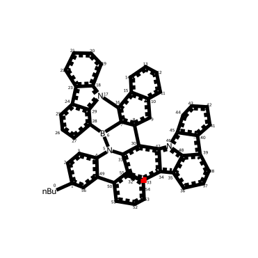 CCCCc1ccc(N2B3c4c(cc5ccccc5c4-n4c5ccccc5c5cccc3c54)-c3c2ccc2c4cccc5c6ccccc6n(c32)c54)c(-c2ccccc2)c1